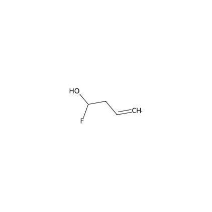 [CH]=CCC(O)F